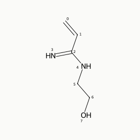 C=CC(=N)NCCO